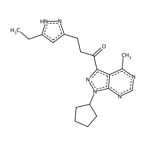 CCc1cc(CCC(=O)c2nn(C3CCCC3)c3ncnc(C)c23)n[nH]1